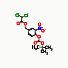 CC(C)(C)OC(=O)Oc1ccc(COC(=O)C(Cl)Cl)cc1[N+](=O)[O-]